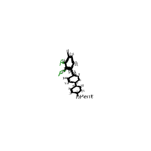 CCCCCC1CCC(C2CCC(c3ccc(C)c(F)c3F)CC2)CC1